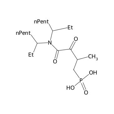 CCCCCC(CC)N(C(=O)C(=O)C(C)CP(=O)(O)O)C(CC)CCCCC